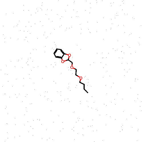 CCCCOCCOCC1Oc2ccccc2O1